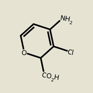 NC1=C(Cl)C(C(=O)O)OC=C1